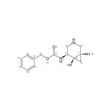 O=C(N[C@H]1CNC[C@@H]2C[C@@H]21)OCc1ccccc1